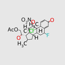 CC(=O)OCC(=O)[C@H]1[C@H](C)C[C@H]2[C@@H]3C[C@H](F)C4=CC(=O)C=C[C@]4(C)C3(Cl)[C@@H](O[N+](=O)[O-])C[C@@]21C